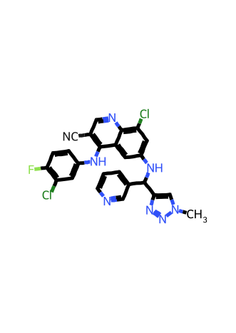 Cn1cc(C(Nc2cc(Cl)c3ncc(C#N)c(Nc4ccc(F)c(Cl)c4)c3c2)c2cccnc2)nn1